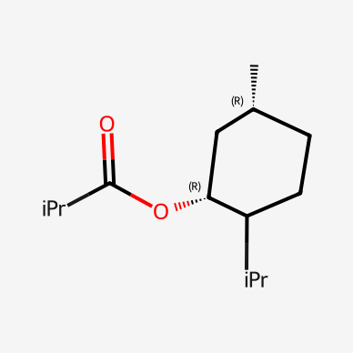 CC(C)C(=O)O[C@@H]1C[C@H](C)CCC1C(C)C